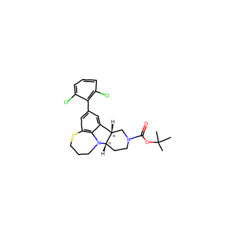 CC(C)(C)OC(=O)N1CC[C@H]2[C@@H](C1)c1cc(-c3c(Cl)cccc3Cl)cc3c1N2CCCS3